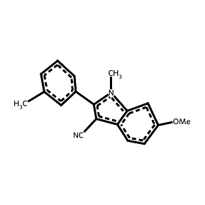 COc1ccc2c(C#N)c(-c3cccc(C)c3)n(C)c2c1